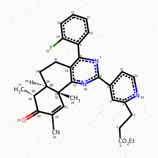 CCOC(=O)CCc1cc(-c2nc(-c3ccccc3F)c3c(n2)[C@]2(C)C=C(C#N)C(=O)[C@H](C)[C@H]2CC3)ccn1